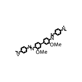 COc1cc(-c2ccc(N=Nc3ccc(N(C)C)cc3)c(OC)c2)ccc1N=Nc1ccc(N(C)C)cc1